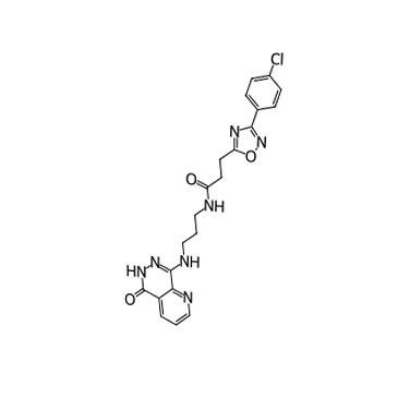 O=C(CCc1nc(-c2ccc(Cl)cc2)no1)NCCCNc1n[nH]c(=O)c2cccnc12